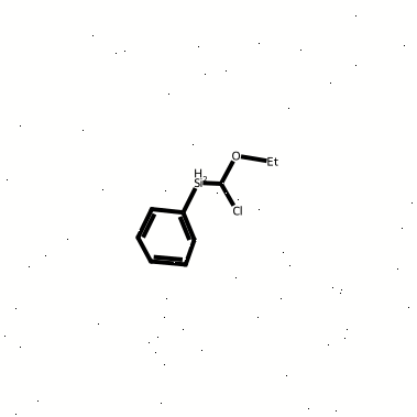 CCOC(Cl)[SiH2]c1ccccc1